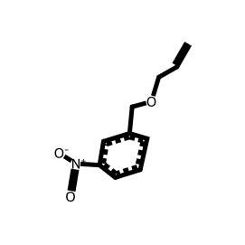 C=CCOCc1cccc([N+](=O)[O-])c1